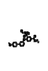 COc1ccc(-c2cccc(Oc3ccc(C(N)=O)cc3S(=O)(=O)NC=O)c2)cc1